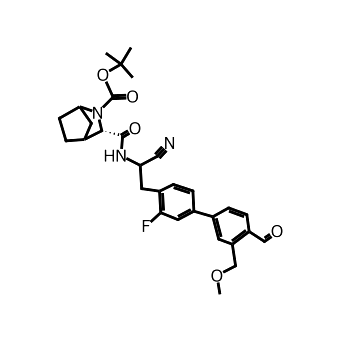 COCc1cc(-c2ccc(CC(C#N)NC(=O)[C@@H]3C4CCC(C4)N3C(=O)OC(C)(C)C)c(F)c2)ccc1C=O